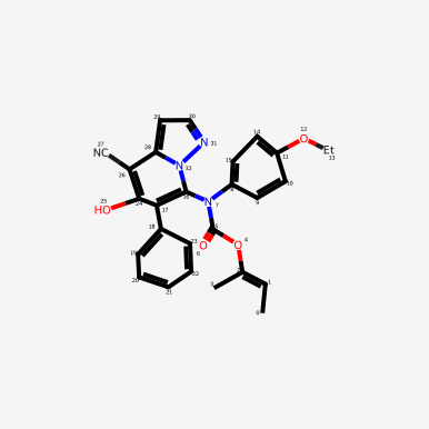 C/C=C(\C)OC(=O)N(c1ccc(OCC)cc1)c1c(-c2ccccc2)c(O)c(C#N)c2ccnn12